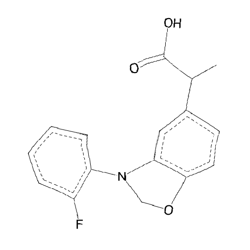 CC(C(=O)O)c1ccc2c(c1)N(c1ccccc1F)CO2